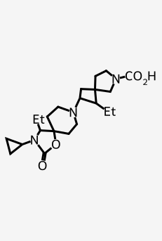 CCC1C(N2CCC3(CC2)OC(=O)N(C2CC2)C3CC)CC12CCN(C(=O)O)C2